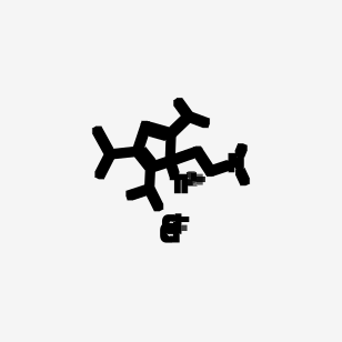 CC(C)C1=CC(C(C)C)=C(C(C)C)[C]1([Ti+2])CCN(C)C.[Cl-].[Cl-]